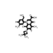 Cc1c(F)c(N2CC(C)(N)C2)c(Cl)c2c1c(=O)c(C(=O)O)cn2-c1cc(N)c(F)cc1CO